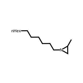 CCCCCCCCCCCCN1CC1C